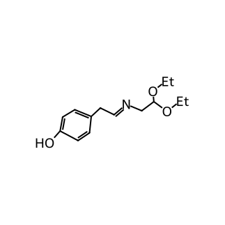 CCOC(C/N=C/Cc1ccc(O)cc1)OCC